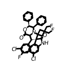 O=C1O[C@@H](c2ccccc2)C(c2ccccc2)N2C1C(c1ccc(F)c(Cl)c1)[C@@]1(C(=O)Nc3cc(Cl)ccc31)C21CC(CF)(CF)C1